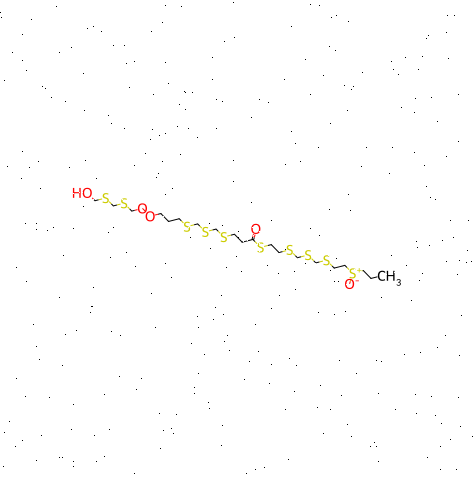 CCC[S+]([O-])CCSCSCSCCSC(=O)CCSCSCSCCCOOCSCSCO